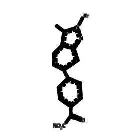 Cc1c2ccc(-c3ccc(C(=O)C(=O)O)cc3)cc2nn1C(C)C